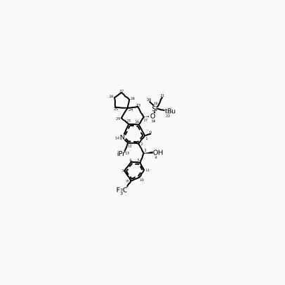 Cc1c([C@@H](O)c2ccc(C(F)(F)F)cc2)c(C(C)C)nc2c1[C@@H](O[Si](C)(C)C(C)(C)C)CC1(CCCC1)C2